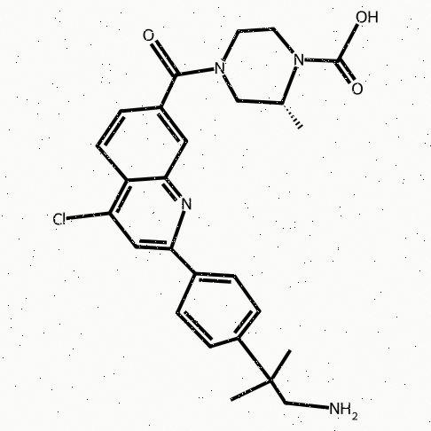 C[C@@H]1CN(C(=O)c2ccc3c(Cl)cc(-c4ccc(C(C)(C)CN)cc4)nc3c2)CCN1C(=O)O